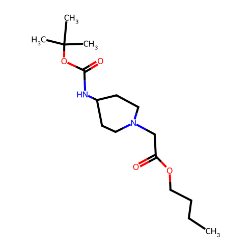 CCCCOC(=O)CN1CCC(NC(=O)OC(C)(C)C)CC1